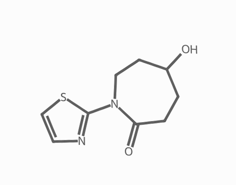 O=C1CCC(O)CCN1c1nccs1